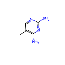 Cc1cnc(N)nc1N